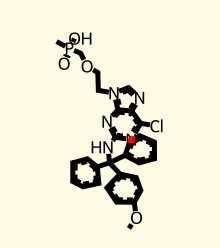 COc1ccc(C(Nc2nc(Cl)c3ncn(CCOCP(C)(=O)O)c3n2)(c2ccccc2)c2ccccc2)cc1